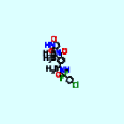 BC(NC(=O)C(F)(F)c1ccc(Cl)cc1)c1ccc2c(c1)C(B)(B)N(C1CCC(=O)NC1=O)C2=O